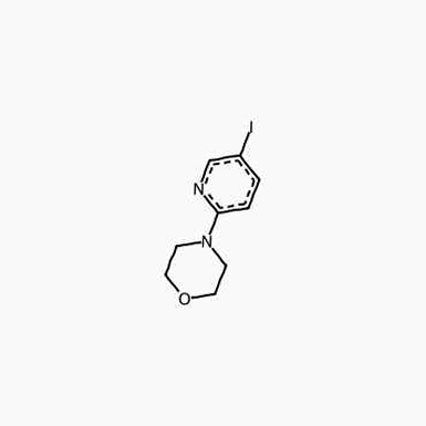 Ic1ccc(N2CCOCC2)nc1